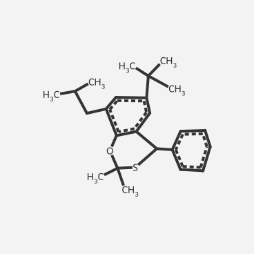 CC(C)Cc1cc(C(C)(C)C)cc2c1OC(C)(C)SC2c1ccccc1